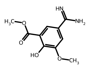 COC(=O)c1cc(C(=N)N)cc(OC)c1O